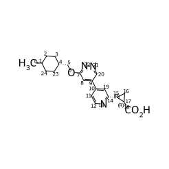 C[C@H]1CC[C@H](COc2cc(-c3ccnc([C@@H]4C[C@H]4C(=O)O)c3)cnn2)CC1